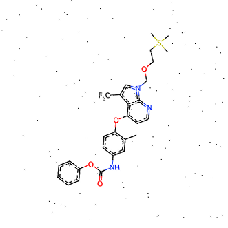 Cc1cc(NC(=O)Oc2ccccc2)ccc1Oc1ccnc2c1c(C(F)(F)F)cn2COCCS(C)(C)C